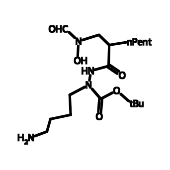 CCCCCC(CN(O)C=O)C(=O)NN(CCCCN)C(=O)OC(C)(C)C